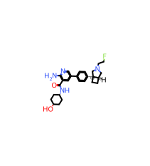 Nc1ncc(-c2ccc([C@@]34CC[C@@H]3CN(CCF)C4)cc2)cc1C(=O)N[C@H]1CC[C@H](O)CC1